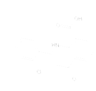 O=C(O)c1cccc2c(=O)cc(-c3ccccc3Cl)[nH]c12